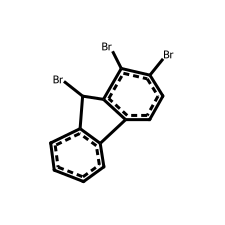 Brc1ccc2c(c1Br)C(Br)c1ccccc1-2